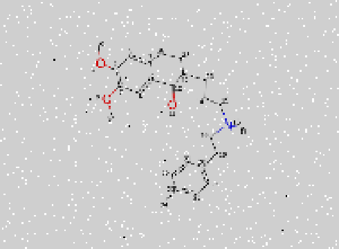 COc1cc2c(cc1OC)C(=O)C(CCCN(C)CCc1ccc(C)cc1)CC2